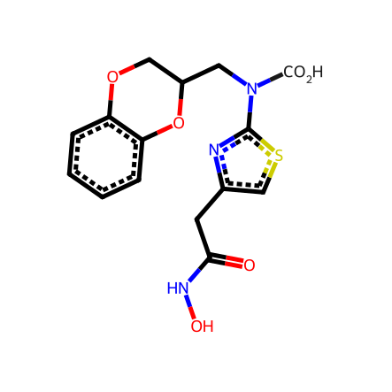 O=C(Cc1csc(N(CC2COc3ccccc3O2)C(=O)O)n1)NO